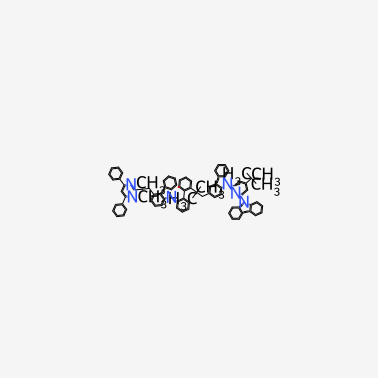 CC(C)(C)c1cc(-n2c3ccccc3c3ccccc32)nc(-n2c3ccccc3c3cc(CC(C)(C)c4ccccc4-c4ccccc4-n4c5ccccc5c5c(CC(C)(C)c6nc(-c7ccccc7)cc(-c7ccccc7)n6)cccc54)ccc32)c1